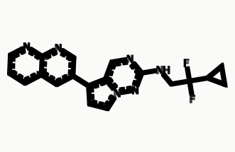 FC(F)(CNc1ncc2c(-c3cnc4ncccc4c3)ccn2n1)C1CC1